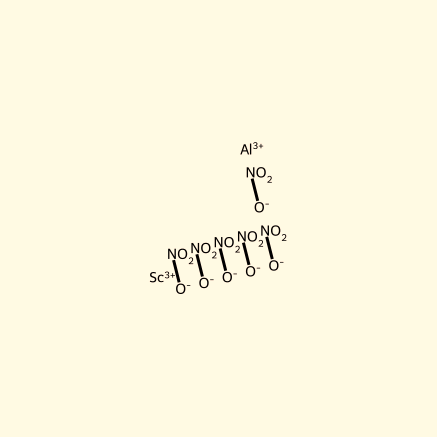 O=[N+]([O-])[O-].O=[N+]([O-])[O-].O=[N+]([O-])[O-].O=[N+]([O-])[O-].O=[N+]([O-])[O-].O=[N+]([O-])[O-].[Al+3].[Sc+3]